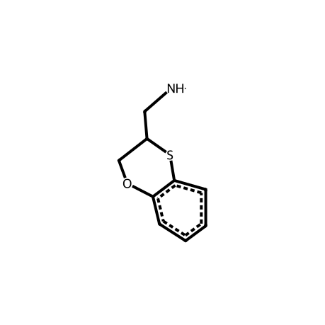 [NH]CC1COc2ccccc2S1